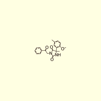 COc1ccc(C)cc1C1(C)NC(=O)N(CC(=O)c2ccccc2)C1=O